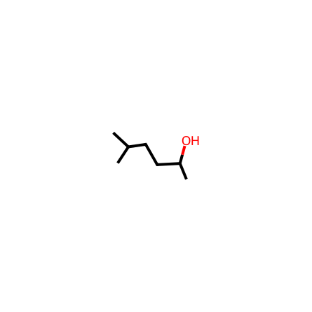 CC(C)CCC(C)O